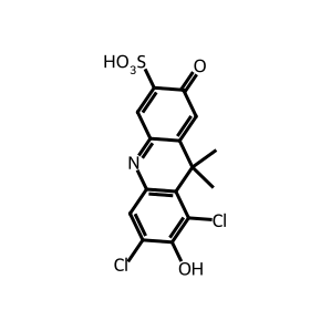 CC1(C)C2=CC(=O)C(S(=O)(=O)O)=CC2=Nc2cc(Cl)c(O)c(Cl)c21